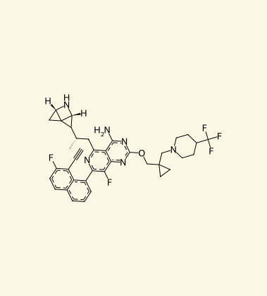 C#Cc1c(F)ccc2cccc(-c3nc(C[C@H](C)C4[C@H]5N[C@H]6CC465)c4c(N)nc(OCC5(CN6CCC(C(F)(F)F)CC6)CC5)nc4c3F)c12